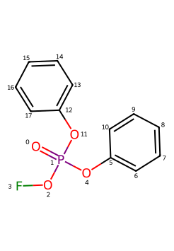 O=P(OF)(Oc1ccccc1)Oc1ccccc1